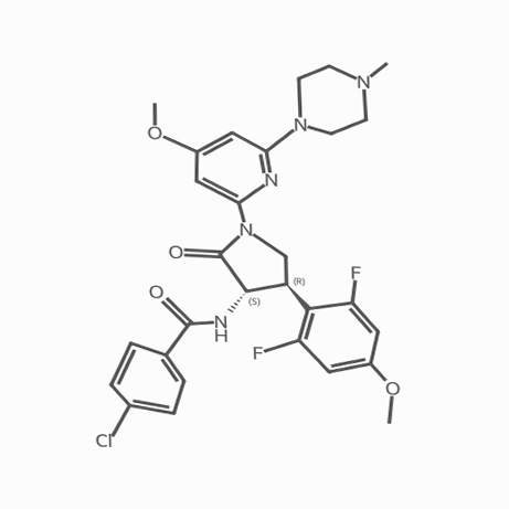 COc1cc(N2CCN(C)CC2)nc(N2C[C@@H](c3c(F)cc(OC)cc3F)[C@H](NC(=O)c3ccc(Cl)cc3)C2=O)c1